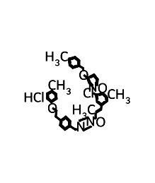 C/C(=C\c1cc(C)c(Oc2ccc(OCc3ccc(C)cc3)cn2)c(Cl)c1)C(=O)N1CCN(Cc2ccc(CCOc3ccc(C)cc3)cc2)CC1.Cl